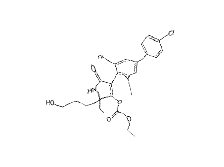 CCOC(=O)OC1=C(c2c(C)cc(-c3ccc(Cl)cc3)cc2Cl)C(=O)NC1(C)CCCO